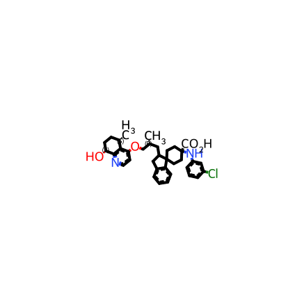 C[C@@H](COc1ccnc2c1[C@@H](C)CC[C@@H]2O)CC1Cc2ccccc2C12CCC(Nc1cccc(Cl)c1)(C(=O)O)CC2